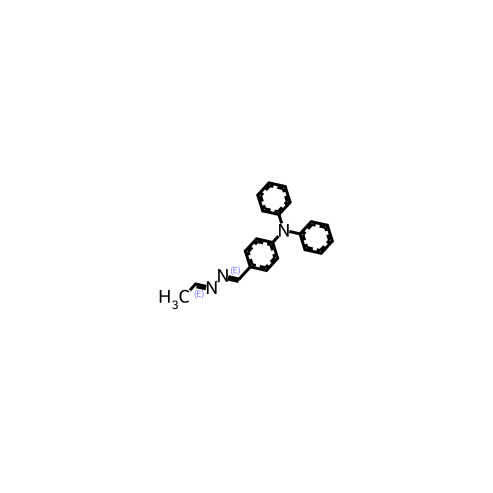 C/C=N/N=C/c1ccc(N(c2ccccc2)c2ccccc2)cc1